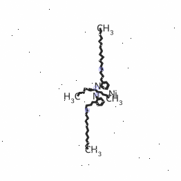 CCCCC#CC(=N/c1ccccc1CCC/C=C/CCCCCCCCCCCC)/C(CCCC)=N/c1ccccc1CCC/C=C/CCCCCCCCCCCC.[Ni]